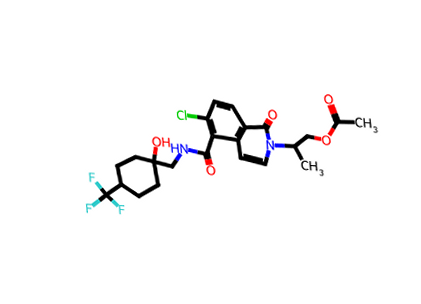 CC(=O)OCC(C)n1ccc2c(C(=O)NCC3(O)CCC(C(F)(F)F)CC3)c(Cl)ccc2c1=O